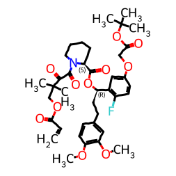 C=CC(=O)OCC(C)(C)C(=O)C(=O)N1CCCC[C@H]1C(=O)O[C@H](CCc1ccc(OC)c(OC)c1)c1cc(OCC(=O)OC(C)(C)C)ccc1F